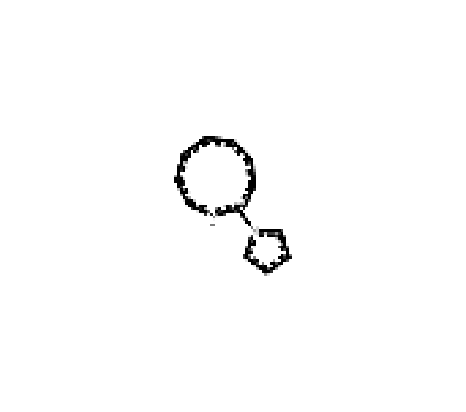 c1ccc[nH]c(-n2cccc2)ccc1